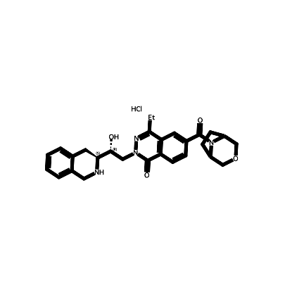 CCc1nn(C[C@@H](O)[C@@H]2Cc3ccccc3CN2)c(=O)c2ccc(C(=O)N3C4CCC3COC4)cc12.Cl